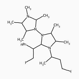 CCCC(CI)C1N(C(C)CCI)C(C)C(C)N1N1C(C)C(C)N(C)C1C